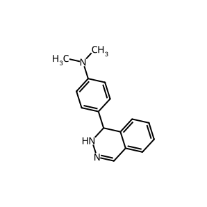 CN(C)c1ccc(C2NN=Cc3ccccc32)cc1